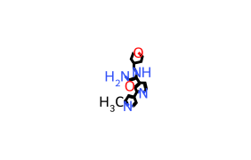 Cc1cc(-c2nccc3c(NCC4CCOCC4)c(N)oc23)ccn1